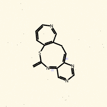 C=C1/N=c2/cncn/c2=C/CC2=C(C=C=CN=C2)S1